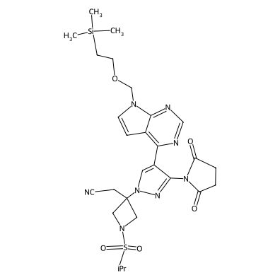 CC(C)S(=O)(=O)N1CC(CC#N)(n2cc(-c3ncnc4c3ccn4COCC[Si](C)(C)C)c(N3C(=O)CCC3=O)n2)C1